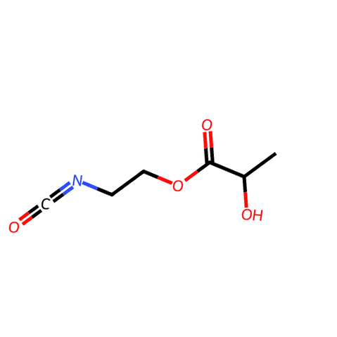 CC(O)C(=O)OCCN=C=O